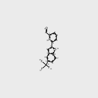 O=Cc1cccc(-c2cc3cc(C(F)(F)F)ccc3s2)n1